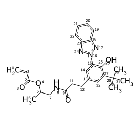 C=CC(=O)OC(C)CNC(=O)CCc1cc(-n2nc3ccccc3n2)c(O)c(C(C)(C)C)c1